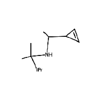 CC(NC(C)(C)C(C)C)C1C=C1